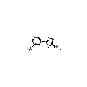 Cc1cncc(-c2nnc(N)s2)c1